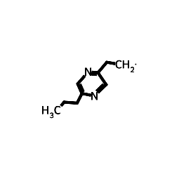 [CH2]Cc1cnc(CCC)cn1